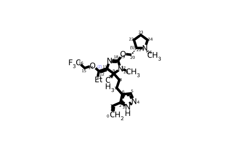 C=Cc1[nH]ncc1CCC1(C)/C(=C(\CC)OCC(F)(F)F)N=C(OC[C@@H]2CCCN2C)N1C